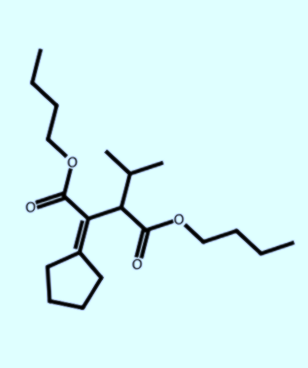 CCCCOC(=O)C(=C1CCCC1)C(C(=O)OCCCC)C(C)C